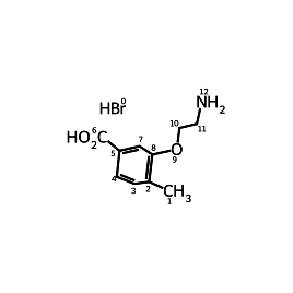 Br.Cc1ccc(C(=O)O)cc1OCCN